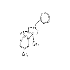 C[C@H]1CN(Cc2ccccc2)CC[C@]1(C)c1cccc(N)c1